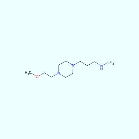 CNCCCN1CCN(CCOC)CC1